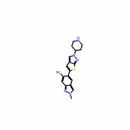 Cn1cc2cc(-c3cc4cn(C5CCNCC5)nc4s3)c(C#N)cc2n1